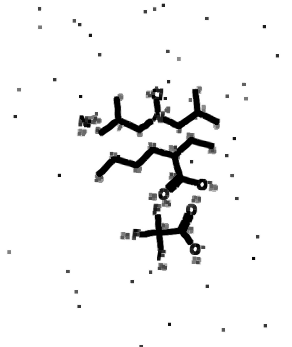 CC(C)[CH2][Al]([Cl])[CH2]C(C)C.CCCCC(CC)C(=O)[O-].O=C([O-])C(F)(F)F.[Ni+2]